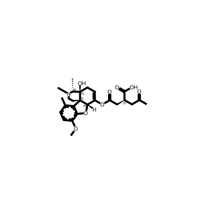 COc1ccc(C)c2c1O[C@H]1C(OC(=O)C[C@H](CC(C)=O)C(=O)O)=CC[C@@]3(O)[C@@H](C)N(C)CC[C@]213